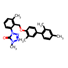 Cc1ccc(-c2ccc(OCc3c(C)cccc3-n3nnn(C)c3=O)c(C)c2)c(C)c1